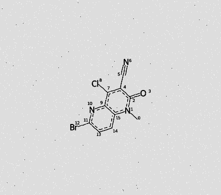 Cn1c(=O)c(C#N)c(Cl)c2nc(Br)ccc21